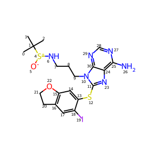 CC(C)(C)[S+]([O-])NCCCn1c(Sc2cc3c(cc2I)CCO3)nc2c(N)ncnc21